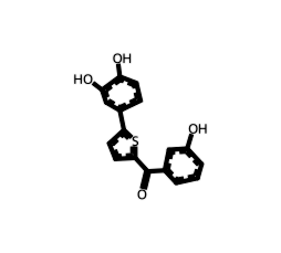 O=C(c1cccc(O)c1)c1ccc(-c2ccc(O)c(O)c2)s1